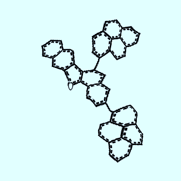 c1ccc2cc3c(cc2c1)oc1c2ccc(-c4ccc5ccc6cccc7ccc4c5c67)cc2cc(-c2ccc4ccc5cccc6ccc2c4c56)c31